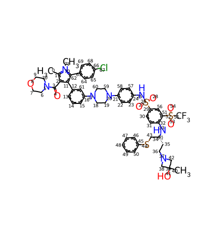 Cc1c(C(=O)N2CCOCC2)c(-c2cccc(N3CCN(c4ccc(NS(=O)(=O)c5ccc(N[C@H](CCN6CC(C)(O)C6)CSc6ccccc6)c(S(=O)(=O)C(F)(F)F)c5)cc4)CC3)c2)c(-c2ccc(Cl)cc2)n1C